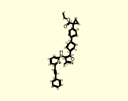 CCOC(=O)C1(c2ccc(-c3ccc(-c4onc(C)c4Nc4cccc(C#Cc5ccccc5)n4)cc3)cc2)CC1